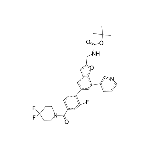 CC(C)(C)OC(=O)NCc1cc2cc(-c3ccc(C(=O)N4CCC(F)(F)CC4)cc3F)cc(-c3cccnc3)c2o1